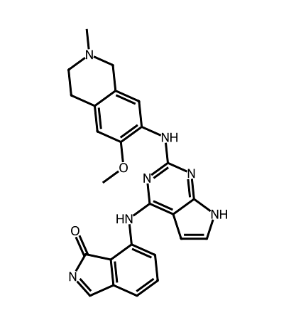 COc1cc2c(cc1Nc1nc(Nc3cccc4c3C(=O)N=C4)c3cc[nH]c3n1)CN(C)CC2